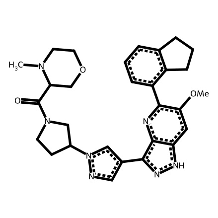 COc1cc2[nH]nc(-c3cnn(C4CCN(C(=O)C5COCCN5C)C4)c3)c2nc1-c1cccc2c1CCC2